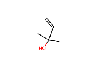 C=[C]C(C)(C)O